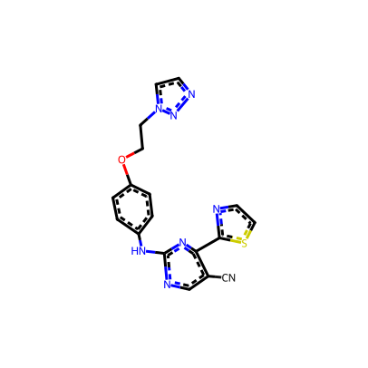 N#Cc1cnc(Nc2ccc(OCCn3ccnn3)cc2)nc1-c1nccs1